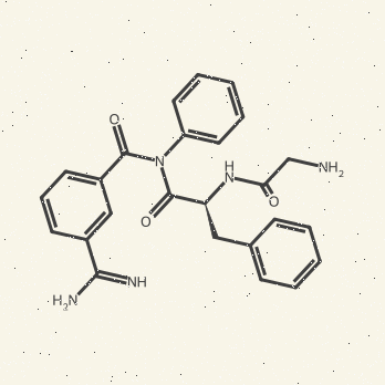 N=C(N)c1cccc(C(=O)N(C(=O)[C@H](Cc2ccccc2)NC(=O)CN)c2ccccc2)c1